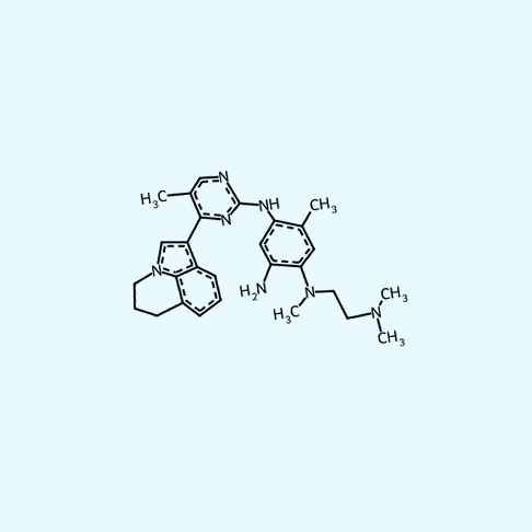 Cc1cc(N(C)CCN(C)C)c(N)cc1Nc1ncc(C)c(-c2cn3c4c(cccc24)CCC3)n1